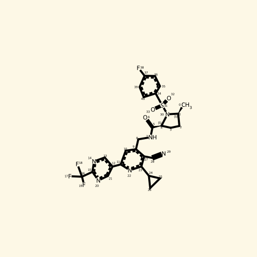 C[C@H]1CC[C@@H](C(=O)NCc2cc(-c3cnc(C(F)(F)F)nc3)nc(C3CC3)c2C#N)N1S(=O)(=O)c1ccc(F)cc1